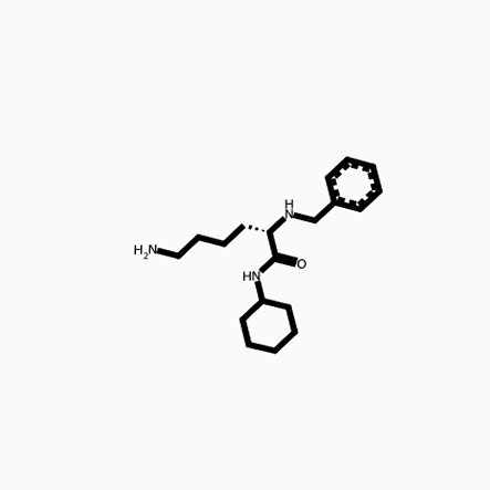 NCCCC[C@H](NCc1ccccc1)C(=O)NC1CCCCC1